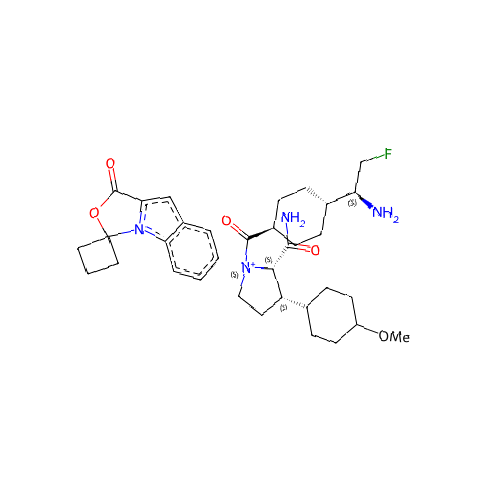 COC1CCC([C@@H]2CC[N@+](c3ccc4c(c3)cc3n4C4(CCC4)OC3=O)(C(=O)[C@H]3CC[C@H]([C@H](N)CF)CC3)[C@@H]2C(N)=O)CC1